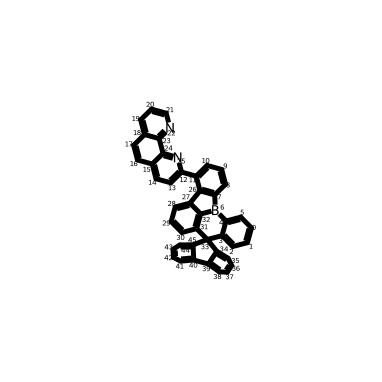 c1ccc2c(c1)B1c3cccc(-c4ccc5ccc6cccnc6c5n4)c3-c3cccc(c31)C21c2ccccc2-c2ccccc21